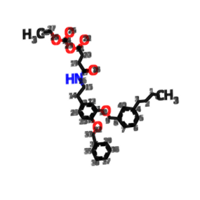 CCCCc1cccc(COc2cc(CCNC(=O)CCC(=O)OC(=O)OCC)ccc2OCc2ccccc2)c1